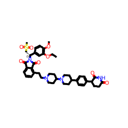 CCOc1cc([C@@H](CS(C)(=O)=O)N2C(=O)c3cccc(CCN4CCC(N5CCC(c6ccc(C7CCC(=O)NC7=O)cc6)CC5)CC4)c3C2=O)ccc1OC